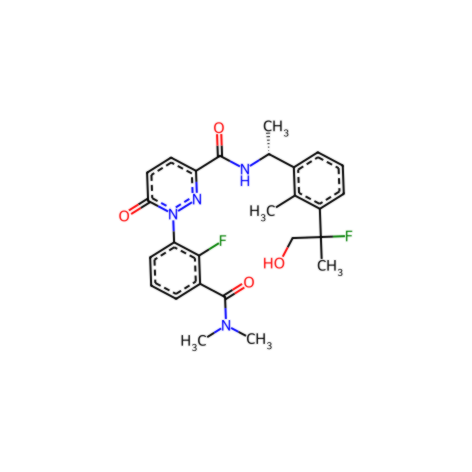 Cc1c([C@@H](C)NC(=O)c2ccc(=O)n(-c3cccc(C(=O)N(C)C)c3F)n2)cccc1C(C)(F)CO